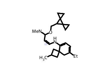 CCC1=CC=C(N/C=C\C(NC)OCC2C3(CC3)C23CC3)C2(C1)CC(C)C2